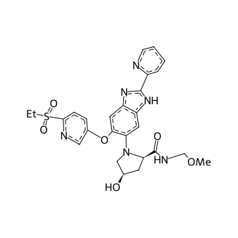 CCS(=O)(=O)c1ccc(Oc2cc3nc(-c4ccccn4)[nH]c3cc2N2C[C@H](O)C[C@@H]2C(=O)NCOC)cn1